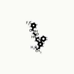 CN(C)Cc1ccc(C2(N3CC[C@@H](NC(=O)CNC(=O)c4cccc(C(F)(F)F)c4)C3)CCCCC2)cc1